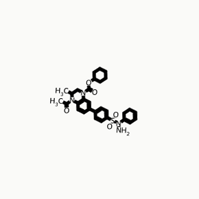 CC(=O)N1c2ccc(-c3ccc(S(=O)(=O)N(N)C4=CC=CCC4)cc3)cc2N(C(=O)OC2CCCCC2)CC1C